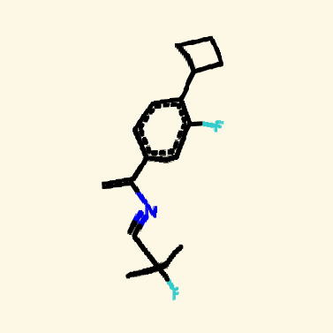 C=C(/N=C/C(C)(C)F)c1ccc(C2CCC2)c(F)c1